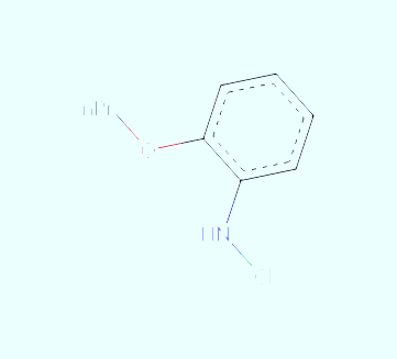 CCCOc1ccccc1NCl